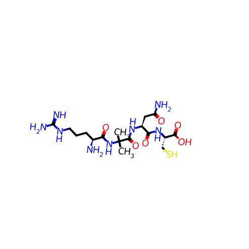 CC(C)(NC(=O)[C@@H](N)CCCNC(=N)N)C(=O)N[C@@H](CC(N)=O)C(=O)N[C@@H](CS)C(=O)O